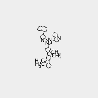 CC1(C)c2ccccc2-c2cc3c(cc21)-c1ccc(-c2cc(-c4ccnc5ccccc45)nc(-c4cc(-c5cccc6ccccc56)ccn4)n2)cc1C3(C)C